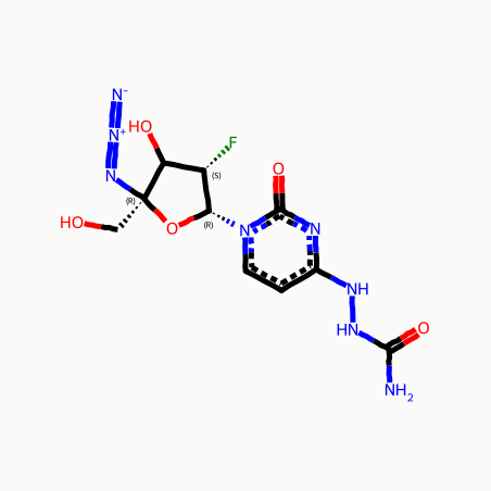 [N-]=[N+]=N[C@]1(CO)O[C@@H](n2ccc(NNC(N)=O)nc2=O)[C@@H](F)C1O